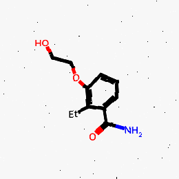 CCc1c(OCCO)cccc1C(N)=O